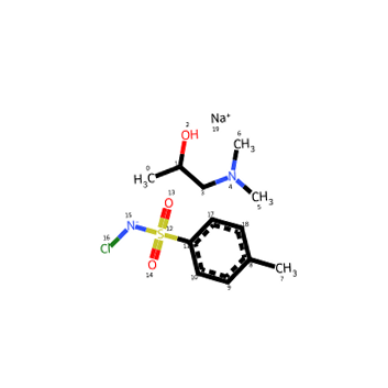 CC(O)CN(C)C.Cc1ccc(S(=O)(=O)[N-]Cl)cc1.[Na+]